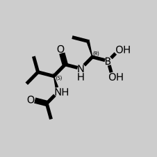 CC[C@H](NC(=O)[C@@H](NC(C)=O)C(C)C)B(O)O